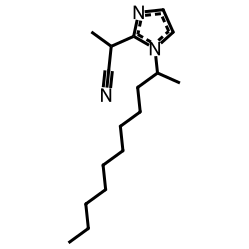 CCCCCCCCCC(C)n1ccnc1C(C)C#N